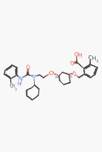 Cc1ccccc1NC(=O)N(CCO[C@@H]1CCC[C@H](OCc2cccc(C)c2C(=O)O)C1)C1CCCCC1